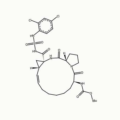 CC(C)(C)OC(=O)N[C@H]1CCCCC/C=C\[C@@H]2C[C@@]2(C(=O)NS(=O)(=O)Nc2ccc(Cl)cc2Cl)NC(=O)[C@@H]2CCCN2C1=O